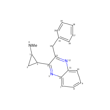 CNC1CC1c1nc2ccccc2nc1Cc1ccccc1